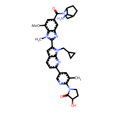 COc1cc(C(=O)N2CC3CCC2C3N)cc2nc(-c3cc4ccc(-c5cnc(N6CCC(O)C6=O)c(C)c5)nc4n3CC3CC3)n(C)c12